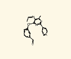 C/C=N\c1c(C)nc(-c2ccncc2)nc1Oc1cccc(C=O)c1